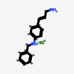 Cl.NCC=Cc1ccc(NCc2ccccc2)cc1